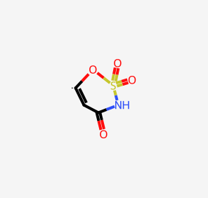 O=C1C=[C]OS(=O)(=O)N1